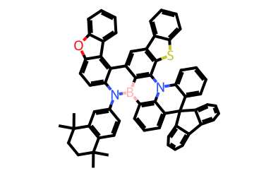 CC1(C)CCC(C)(C)c2cc(N3B4c5cccc6c5N(c5ccccc5C65c6ccccc6-c6ccccc65)c5c4c(cc4c5sc5ccccc54)-c4c3ccc3oc5ccccc5c43)ccc21